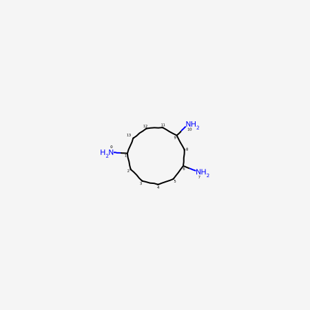 NC1CCCCC(N)CC(N)CCC1